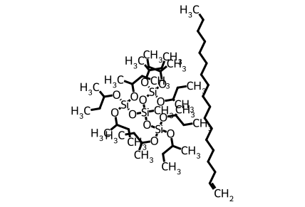 C=CCCCCCCCCCCCCCCCC.CCC(C)O[Si](OC(C)CC)(OC(C)CC)O[Si](C)(O[Si](OC(C)CC)(OC(C)CC)OC(C)CC)O[Si](OC(C)CC)(OC(C)CC)OC(C)CC